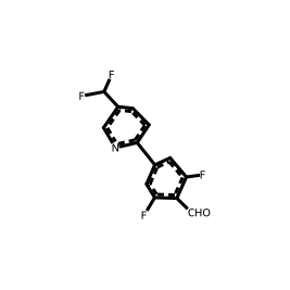 O=Cc1c(F)cc(-c2ccc(C(F)F)cn2)cc1F